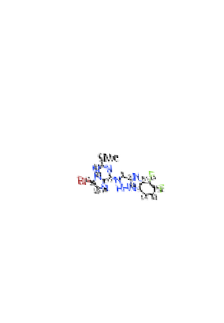 CSc1nc(NCc2nc3c(F)c(F)ccc3[nH]2)c2ncc(Br)n2n1